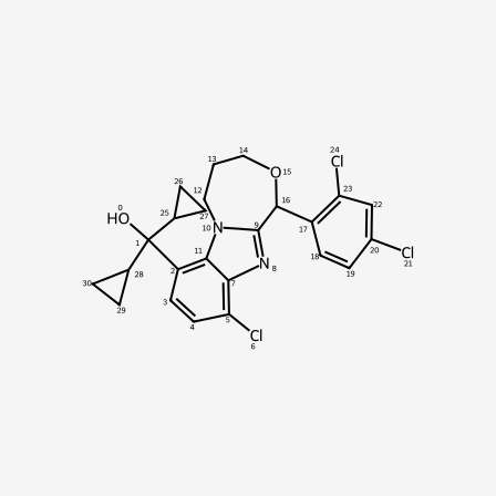 OC(c1ccc(Cl)c2nc3n(c12)CCCOC3c1ccc(Cl)cc1Cl)(C1CC1)C1CC1